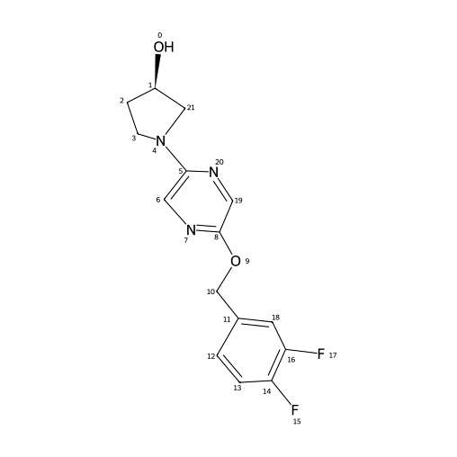 O[C@@H]1CCN(c2cnc(OCc3ccc(F)c(F)c3)cn2)C1